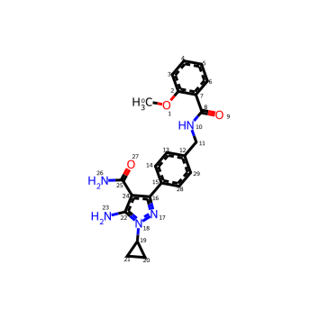 COc1ccccc1C(=O)NCc1ccc(-c2nn(C3CC3)c(N)c2C(N)=O)cc1